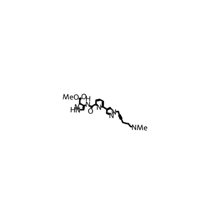 CNCCCC#CCn1cc(-c2cccc(C(=O)Nc3c[nH]nc3C(=O)OC)n2)cn1